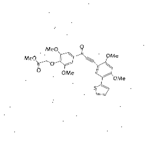 COC(=O)COc1c(OC)cc(C(=O)C#Cc2cc(-c3cccs3)c(OC)cc2OC)cc1OC